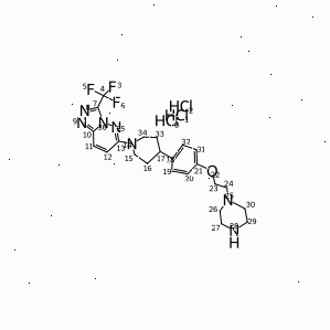 Cl.Cl.Cl.FC(F)(F)c1nnc2ccc(N3CCC(c4ccc(OCCN5CCNCC5)cc4)CC3)nn12